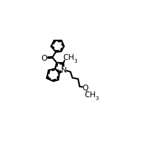 COCCCCn1c(C)c(C(=O)c2ccccc2)c2ccccc21